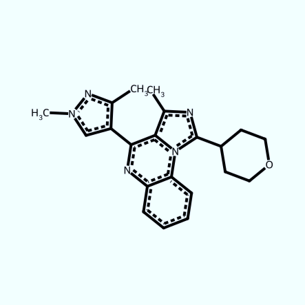 Cc1nn(C)cc1-c1nc2ccccc2n2c(C3CCOCC3)nc(C)c12